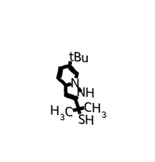 CC(C)(C)C1=CN2NC(C(C)(C)S)=CC2C=C1